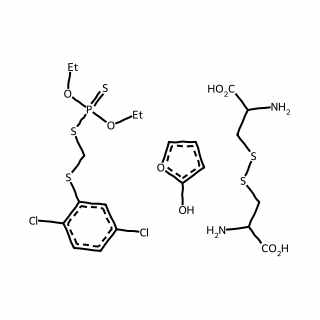 CCOP(=S)(OCC)SCSc1cc(Cl)ccc1Cl.NC(CSSCC(N)C(=O)O)C(=O)O.Oc1ccco1